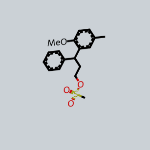 COc1ccc(C)cc1C(CCOS(C)(=O)=O)c1ccccc1